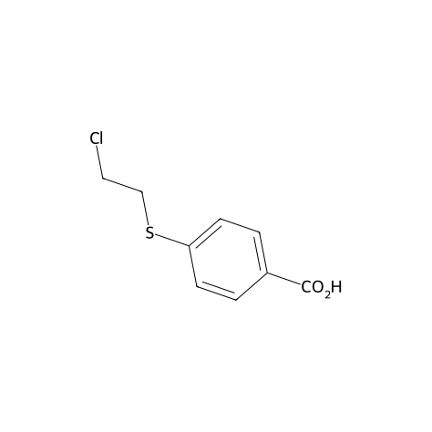 O=C(O)c1ccc(SCCCl)cc1